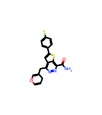 NC(=O)c1nnc(CC2=COC=CC2)c2cc(-c3ccc(F)cc3)sc12